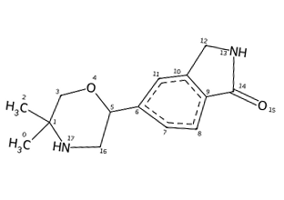 CC1(C)COC(c2ccc3c(c2)CNC3=O)CN1